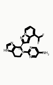 Nc1cnc(N2CCc3[nH]cnc3[C@H]2c2cc3c(C(F)F)cccn3n2)nc1